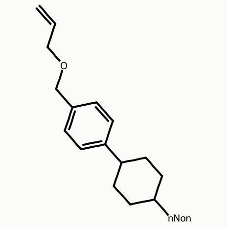 C=CCOCc1ccc(C2CCC(CCCCCCCCC)CC2)cc1